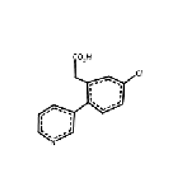 O=C(O)Cc1cc(Cl)ccc1-c1cccnc1